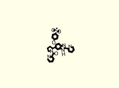 CS(=O)(=O)c1ccc(Oc2cc3nc(-c4ccccn4)[nH]c3cc2C2CCCN2C(=O)c2ccccn2)cc1